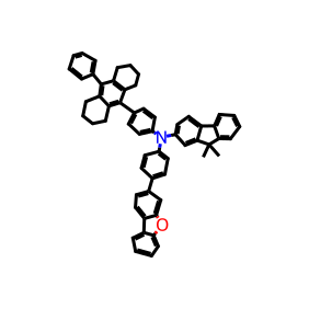 CC1(C)c2ccccc2-c2ccc(N(c3ccc(-c4ccc5c(c4)oc4ccccc45)cc3)c3ccc(-c4c5c(c(-c6ccccc6)c6c4CCCC6)CCCC5)cc3)cc21